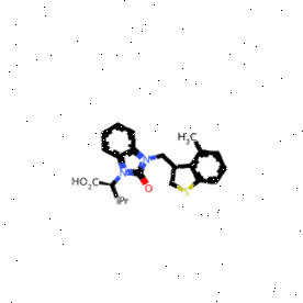 Cc1cccc2c1C(Cn1c(=O)n([C@H](C(=O)O)C(C)C)c3ccccc31)CS2